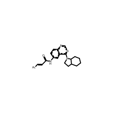 CC(=O)/C=C/C(=O)Nc1ccc2ncnc(N3CCC4CCCCC43)c2c1